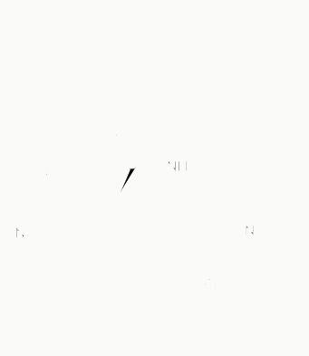 O=C(NCC1(c2ccc(Cl)nc2)CCCCC1)[C@H]1CCCc2ncsc21